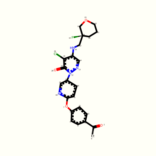 CCC(=O)c1ccc(Oc2ccc(-n3ncc(NC[C@@]4(F)CCCOC4)c(Cl)c3=O)cn2)cc1